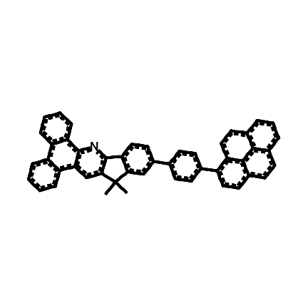 CC1(C)c2cc(-c3ccc(-c4ccc5ccc6cccc7ccc4c5c67)cc3)ccc2-c2nc3c4ccccc4c4ccccc4c3cc21